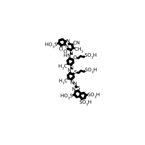 Cc1cc(N=Nc2cc(OCCCS(=O)(=O)O)c(N=Nc3c(C)c(C#N)c4nc5ccc(S(=O)(=O)O)c(Cl)c5n4c3O)cc2C)c(SCCCS(=O)(=O)O)cc1N=Nc1nc2c(S(=O)(=O)O)cc3c(S(=O)(=O)O)cc(S(=O)(=O)O)cc3c2s1